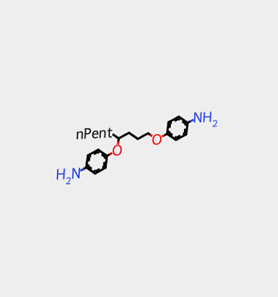 CCCCCC(CCCOc1ccc(N)cc1)Oc1ccc(N)cc1